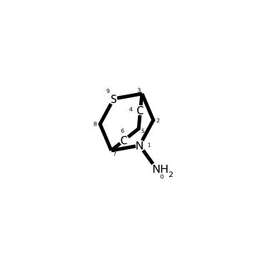 NN1CC2CCCC1CS2